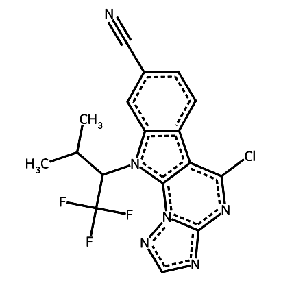 CC(C)C(n1c2cc(C#N)ccc2c2c(Cl)nc3ncnn3c21)C(F)(F)F